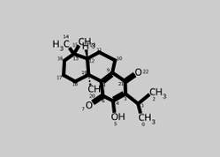 CC(C)C1=C(O)C(=O)C2=C(CC[C@H]3C(C)(C)CCC[C@]23C)C1=O